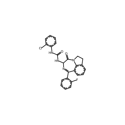 O=C(Nc1ccccc1Cl)NC1N=C(c2ccccc2F)c2cccc3c2N(CC3)C1=O